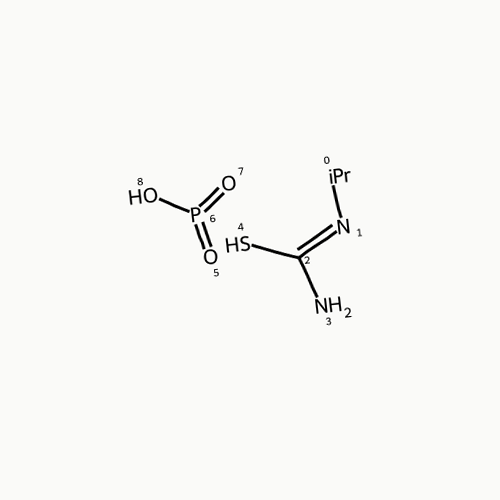 CC(C)N=C(N)S.O=P(=O)O